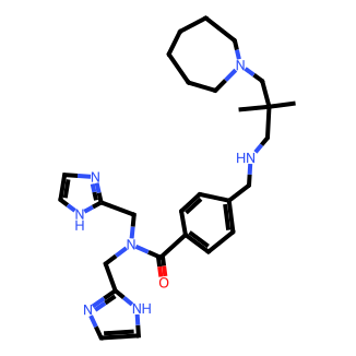 CC(C)(CNCc1ccc(C(=O)N(Cc2ncc[nH]2)Cc2ncc[nH]2)cc1)CN1CCCCCC1